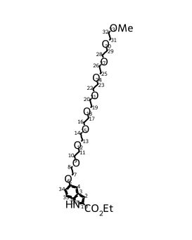 CCOC(=O)c1cc2cc(OCCOCCOCCOCCOCCOCCOCCOCCOCCOC)ccc2[nH]1